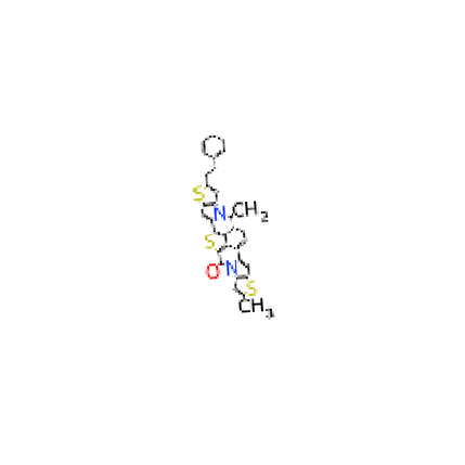 C=C1C2CC=c3c4c2c(sc4c(=O)n2c3cc3sc(C)cc32)-c2cc3sc(CCC4=CCCC=C4)cc3n21